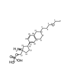 CCOCCCC1CCc2cc([C@H]3CC[C@](N)(COP(=O)(O)O)C3)ccc2C1